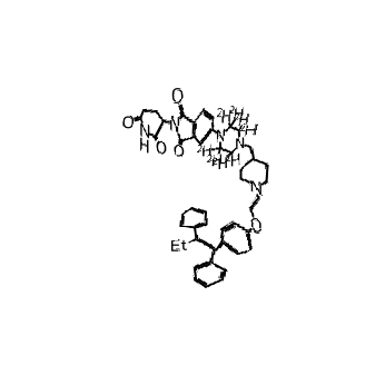 [2H]C1([2H])N(CC2CCN(CCOc3ccc(C(=C(CC)c4ccccc4)c4ccccc4)cc3)CC2)C([2H])([2H])C([2H])([2H])N(c2ccc3c(c2)C(=O)N(C2CCC(=O)NC2=O)C3=O)C1([2H])[2H]